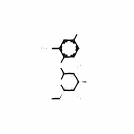 COc1cc(C=O)ccc1OC1O[C@H](CO)[C@@H](O)[C@H](O)[C@H]1O